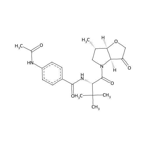 CC(=O)Nc1ccc(C(=O)N[C@H](C(=O)N2C[C@H](C)[C@H]3OCC(=O)[C@H]32)C(C)(C)C)cc1